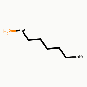 CCCCCCCC[Se]P